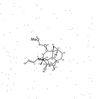 C/C=C/C[C@]1(C)C[C@@H](OCOC)[C@]23C[C@@H]2CCC2(CC[C@@H](OC)C23)[C@@H](C)C1=O